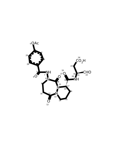 CC(=O)Oc1ccc(C(=O)NN2CCC(=O)N3CCC[C@@H](C(=O)N[C@H](C=O)CC(=O)O)N3C2=O)cc1